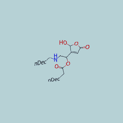 CCCCCCCCCCCNCC(OC(=O)CCCCCCCCCCC)C1=CC(=O)OC1O